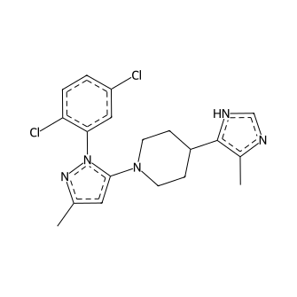 Cc1cc(N2CCC(c3[nH]cnc3C)CC2)n(-c2cc(Cl)ccc2Cl)n1